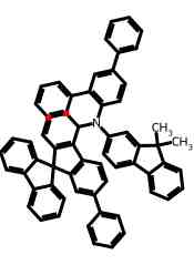 CC1(C)c2ccccc2-c2ccc(N(c3ccc(-c4ccccc4)cc3-c3ccccc3)C3CC=CC4=C3c3ccc(-c5ccccc5)cc3C43c4ccccc4-c4ccccc43)cc21